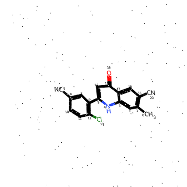 Cc1cc2[nH]c(-c3cc(C#N)ccc3Cl)cc(=O)c2cc1C#N